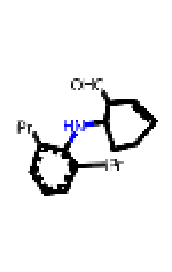 CC(C)c1cccc(C(C)C)c1NC1CCC=CC1C=O